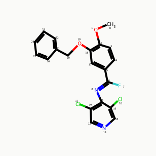 COc1ccc(C(F)=Nc2c(Cl)cncc2Cl)cc1OCc1ccccc1